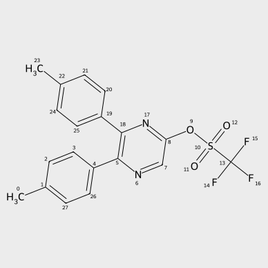 Cc1ccc(-c2ncc(OS(=O)(=O)C(F)(F)F)nc2-c2ccc(C)cc2)cc1